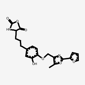 Cc1oc(-c2ccco2)nc1COc1ccc(CCCC2NC(=O)OC2=O)cc1O